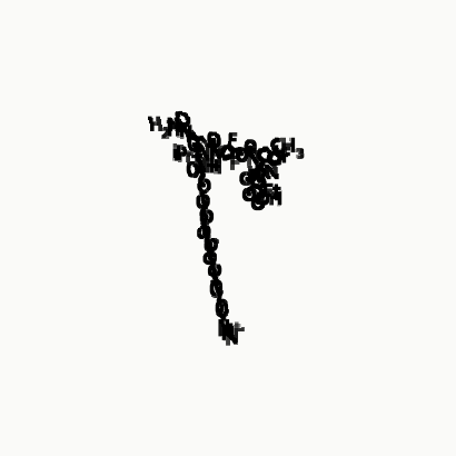 CC[C@@]1(O)C(=O)OCc2c1cc1n(c2=O)Cc2c-1nc1cc(F)c(C)c3c1c2[C@@H](NC(=O)OCc1c(F)cc(NC(=O)[C@H](CCCNC(N)=O)NC(=O)[C@@H](NC(=O)CCOCCOCCOCCOCCOCCOCCOCCOCCOCCN=[N+]=[N-])C(C)C)cc1F)CC3